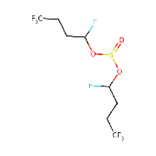 O=S(OC(F)CCC(F)(F)F)OC(F)CCC(F)(F)F